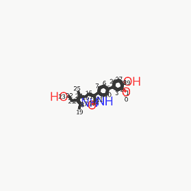 COc1cc(-c2ccc3c(c2)NC(=O)/C3=C\c2[nH]c(C)c(CCO)c2C)ccc1O